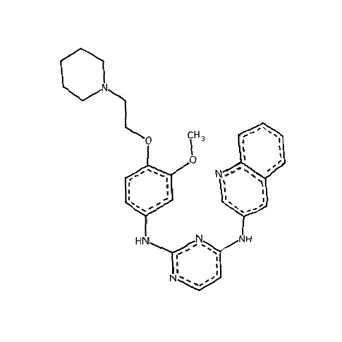 COc1cc(Nc2nccc(Nc3cnc4ccccc4c3)n2)ccc1OCCN1CCCCC1